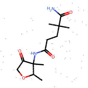 CC1OCC(=O)C1(C)NC(=O)[CH]CC(C)(C)C(N)=O